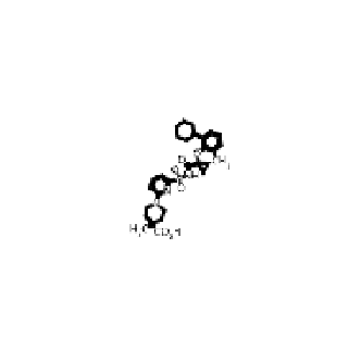 Cc1cccc(C2CCCCC2)c1OC1(C(=O)NS(=O)(=O)c2cccc(N3CCC(C)(C(=O)O)CC3)n2)CC1